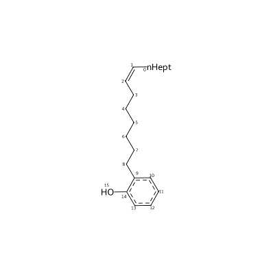 CCCCCCC/C=C\CCCCCCc1ccccc1O